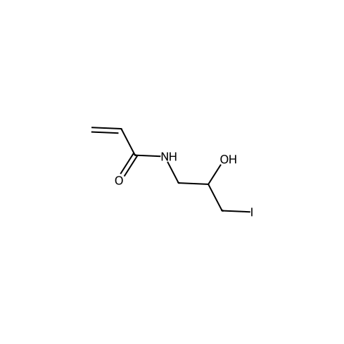 C=CC(=O)NCC(O)CI